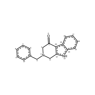 O=C1CN(Cc2ccccc2)Cc2[nH]c3ccccc3c21